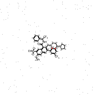 CCS(=O)(=O)c1cc2c(C(=O)NC(c3ccccc3)C(F)(F)F)c(CN3CCC(N4CCCC4)CC3)c(-c3cccc(C(F)(F)F)c3)nc2cc1OC(C)C